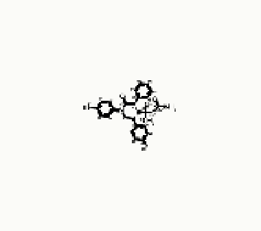 CCc1ccc(N(CCc2ccc(F)cc2)C(=O)[C@@H](CC(C)(C)OC(N)=O)c2ccccc2)cc1